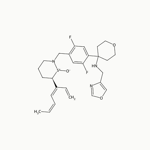 C=C/C(=C\C=C/C)[C@H]1CCCN(Cc2cc(F)c(C3(NCc4cocn4)CCOCC3)cc2F)[S+]1[O-]